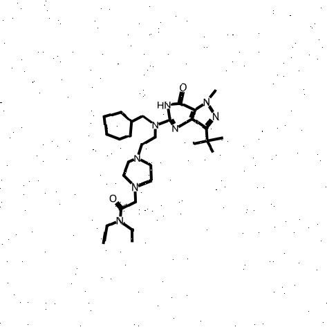 CCN(CC)C(=O)CN1CCN(CCN(CC2CCCCC2)c2nc3c(C(C)(C)C)nn(C)c3c(=O)[nH]2)CC1